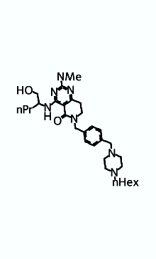 CCCCCCN1CCN(Cc2ccc(CN3CCc4nc(NC)nc(NC(CO)CCC)c4C3=O)cc2)CC1